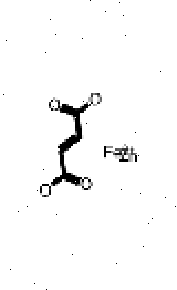 O=C([O-])/C=C/C(=O)[O-].[Fe+2].[Zn]